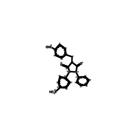 O=Cc1ccc(CC2C(=O)N(c3ccccc3)N(c3ccc(S(=O)(=O)O)cc3)C2=O)cc1